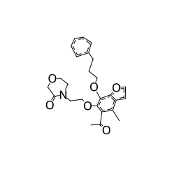 CC(=O)c1c(OCCN2CCOCC2=O)c(OCCCc2ccccc2)c2occc2c1C